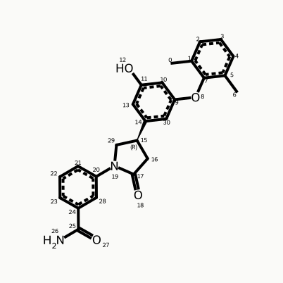 Cc1cccc(C)c1Oc1cc(O)cc([C@H]2CC(=O)N(c3cccc(C(N)=O)c3)C2)c1